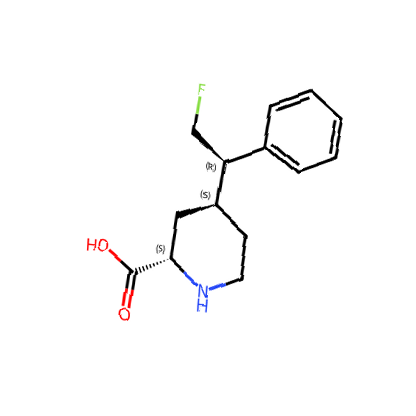 O=C(O)[C@@H]1C[C@@H]([C@@H](CF)c2ccccc2)CCN1